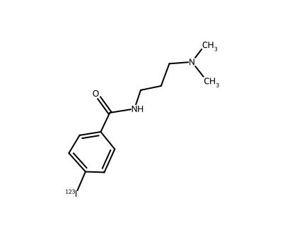 CN(C)CCCNC(=O)c1ccc([123I])cc1